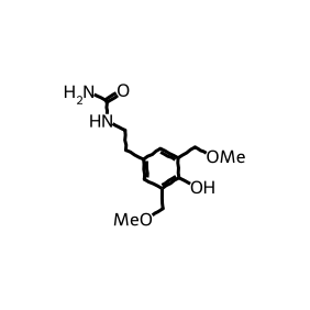 COCc1cc(CCNC(N)=O)cc(COC)c1O